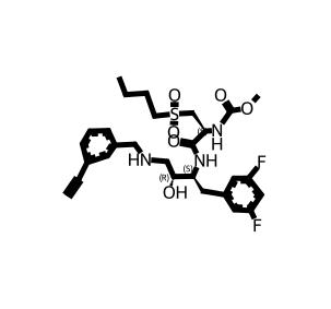 C#Cc1cccc(CNC[C@@H](O)[C@H](Cc2cc(F)cc(F)c2)NC(=O)[C@@H](CS(=O)(=O)CCCC)NC(=O)OC)c1